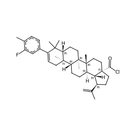 C=C(C)[C@@H]1CC[C@]2(C(=O)Cl)CC[C@]3(C)[C@H](CC[C@@H]4[C@@]5(C)CC=C(c6ccc(C)c(F)c6)C(C)(C)[C@@H]5CC[C@]43C)[C@@H]12